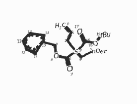 C=CCS(CCCCCCCCCCC)(C(=O)OCc1ccccc1)C(=O)OC(C)(C)C